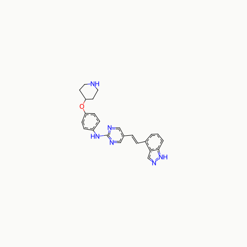 C(=C\c1cccc2[nH]ncc12)/c1cnc(Nc2ccc(OC3CCNCC3)cc2)nc1